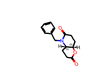 O=C1CC[C@H]2[C@H](CCC(=O)N2Cc2ccccc2)O1